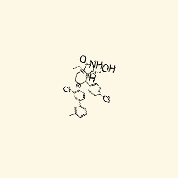 CC[C@@]12CC[C@@H](c3ccc(-c4cccc(C)c4)cc3Cl)C(c3ccc(Cl)cc3)[C@@H]1[C@@H](CO)NC2=O